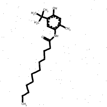 CCCCCCCCCCCC(=O)Nc1cc(C(C)(C)C)c(O)cc1C